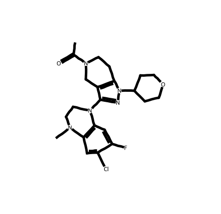 CC(=O)N1CCc2c(c(N3CCN(C)c4cc(Cl)c(F)cc43)nn2C2CCOCC2)C1